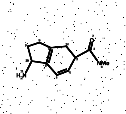 CNC(=O)C1C=CC2=C(CCC2N)C1